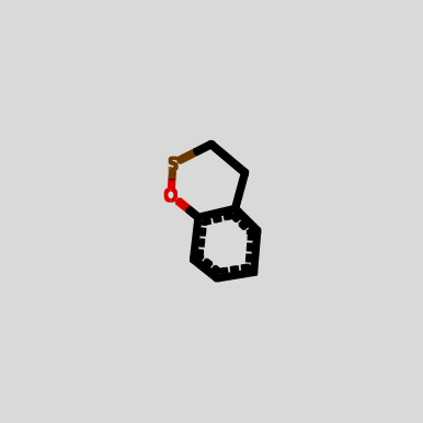 c1ccc2c(c1)CCSO2